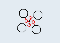 C1CCCC([O][Rf]([O]C2CCCCCCC2)([O]C2CCCCCCC2)[O]C2CCCCCCC2)CCC1